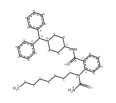 CCCCCCCCN(C(N)=O)c1ccccc1C(=O)NC1CCN(C(c2ccccc2)c2ccccc2)CC1